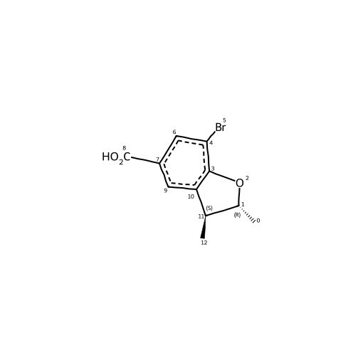 C[C@H]1Oc2c(Br)cc(C(=O)O)cc2[C@@H]1C